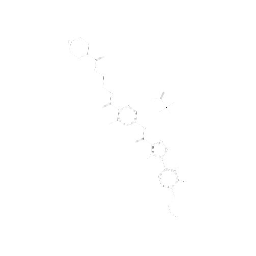 Cn1c(-c2ccc(OCC#N)c(F)c2F)cnc1C(=O)Nc1ccc(C(=O)NCCNC(=O)C2CCNCC2)c(Cl)c1.O=C(O)C(F)(F)F